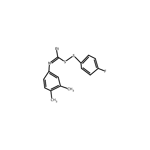 CCC(=Nc1ccc(C)c(C)c1)SSc1ccc(F)cc1